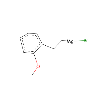 COc1ccccc1C[CH2][Mg][Br]